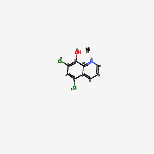 Oc1c(Cl)cc(Cl)c2cccnc12.[Ni]